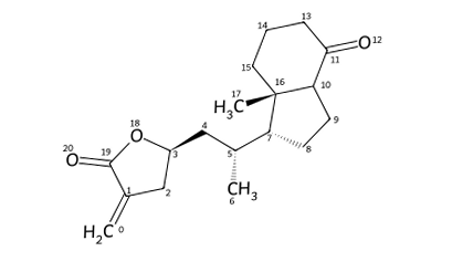 C=C1C[C@H](C[C@@H](C)[C@H]2CCC3C(=O)CCC[C@]32C)OC1=O